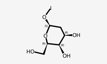 OC[C@H]1O[C@@H](OI)C[C@@H](O)[C@H]1O